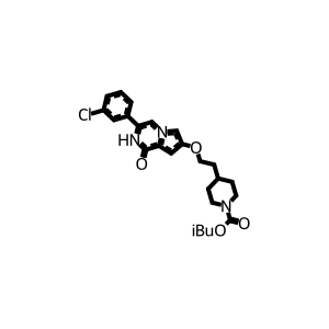 CC(C)COC(=O)N1CCC(CCOc2cc3c(=O)[nH]c(-c4cccc(Cl)c4)cn3c2)CC1